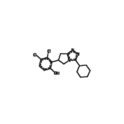 Oc1ccc(Cl)c(Cl)c1C1Cc2nnc(C3CCCCC3)n2C1